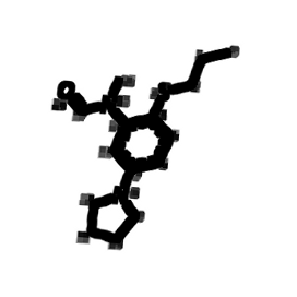 CCCSc1ccc(N2CCCC2)cc1N(C)C=O